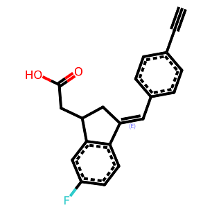 C#Cc1ccc(/C=C2\CC(CC(=O)O)c3cc(F)ccc32)cc1